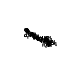 C[C@@H]1[C@@H](NC2CCC(C)(C)CC2CN2CCN(c3ccc(C(=O)NS(=O)(=O)c4ccc(NCC5CCOCC5)c([N+](=O)[O-])c4)cc3)CC2)C[C@@H]2C[C@H]1C2(C)C